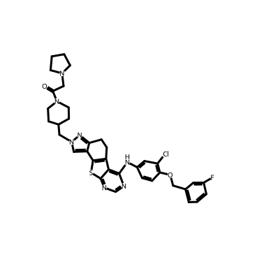 O=C(CN1CCCC1)N1CCC(Cn2cc3c(n2)CCc2c-3sc3ncnc(Nc4ccc(OCc5cccc(F)c5)c(Cl)c4)c23)CC1